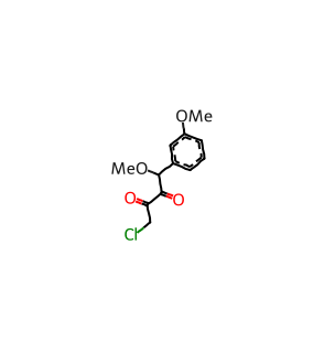 COc1cccc(C(OC)C(=O)C(=O)CCl)c1